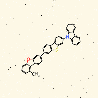 Cc1cccc2oc3cc(-c4ccc5c(c4)sc4cc(-n6c7ccccc7c7ccccc76)ccc45)ccc3c12